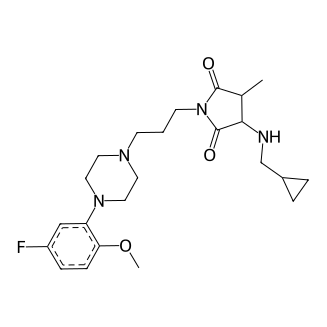 COc1ccc(F)cc1N1CCN(CCCN2C(=O)C(C)C(NCC3CC3)C2=O)CC1